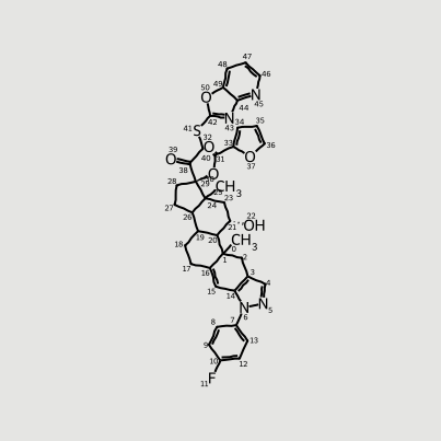 CC12Cc3cnn(-c4ccc(F)cc4)c3C=C1CCC1C2[C@@H](O)CC2(C)C1CC[C@]2(OC(=O)c1ccco1)C(=O)CSc1nc2ncccc2o1